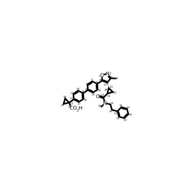 Cc1noc(-c2ccc(-c3ccc(C4(C(=O)O)CC4)cc3)cc2)c1[C@@H]1CC1C(=O)N(C)CCc1ccccc1